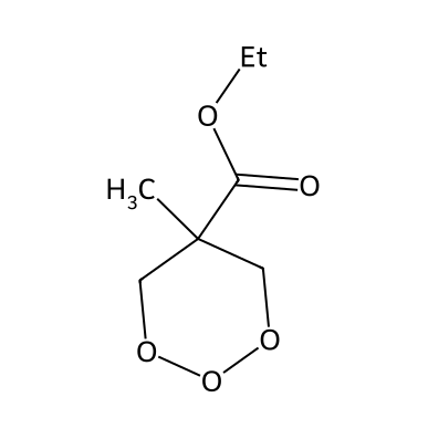 CCOC(=O)C1(C)COOOC1